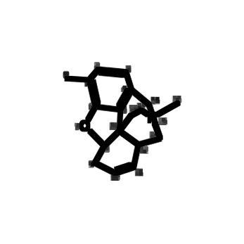 Cc1ccc2c3c1OC1CC=CC4C(C2)N(C)CCC314